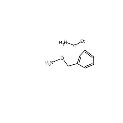 CCON.NOCc1ccccc1